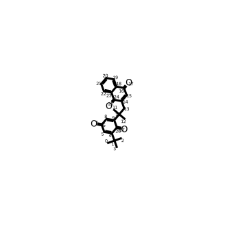 CC(C)(C)C1=CC(=O)C=C(C(C)(C)CC2=CC(=O)c3ccccc3C2=O)C1=O